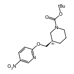 CC(C)(C)OC(=O)N1CCC[C@@H](COc2ccc([N+](=O)[O-])cn2)C1